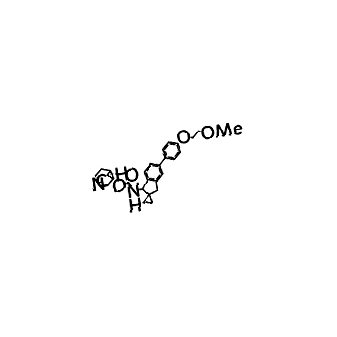 COCCOc1ccc(-c2ccc3c(c2)CC2(CC2)C3NC(=O)O[C@H]2CN3CCC2CC3)cc1